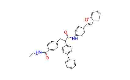 CCCNC(=O)c1ccc(CC(C(=O)NC2=CCC(c3cc4ccccc4o3)C=C2)c2ccc(-c3ccccc3)cc2)cc1